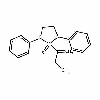 C=C(CC)P1(=S)N(c2ccccc2)CCN1c1ccccc1